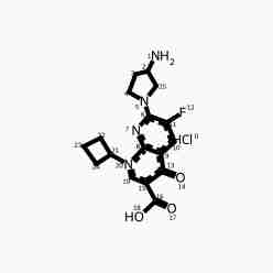 Cl.NC1CCN(c2nc3c(cc2F)c(=O)c(C(=O)O)cn3C2CCC2)C1